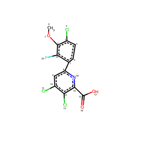 COc1c(Cl)ccc(-c2cc(Cl)c(Cl)c(C(=O)O)n2)c1F